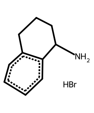 Br.NC1CCCc2ccccc21